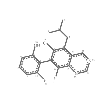 CC(C)Cc1c(Cl)c(-c2c(O)cccc2F)c(F)c2ncncc12